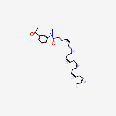 CC/C=C\C/C=C\C/C=C\C/C=C\C/C=C\C/C=C\CCC(=O)Nc1cccc(C(C)=O)c1